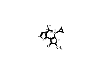 CC1OC(NC2CC2)=C(c2sccc2C(F)F)C1=O